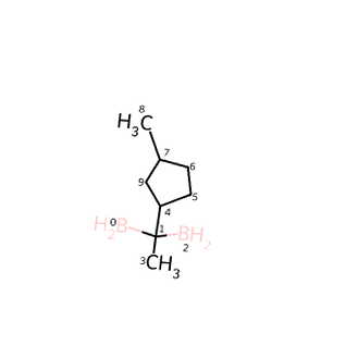 BC(B)(C)C1CCC(C)C1